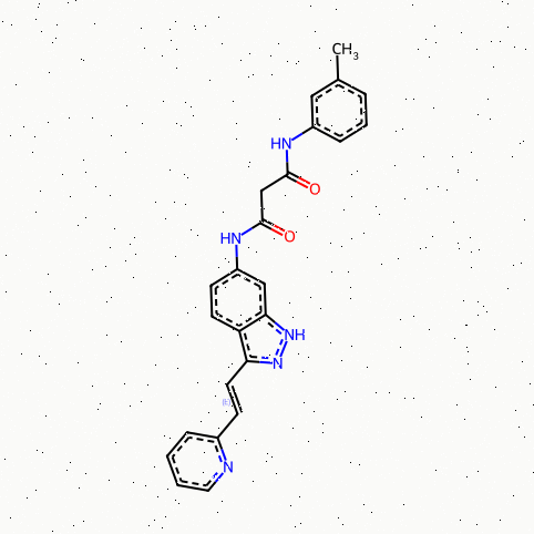 Cc1cccc(NC(=O)CC(=O)Nc2ccc3c(/C=C/c4ccccn4)n[nH]c3c2)c1